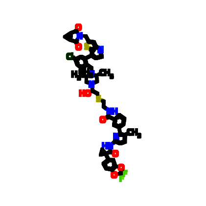 Cc1ccc(NC(=O)C2(c3ccc4c(c3)OC(F)(F)O4)CC2)nc1-c1cccc(C(=O)NCCSCC(O)N2C[C@H](C)N(Cc3c(C)cc(Cl)cc3-c3ccnc4cc(CN5C(=O)C6CC6C5=O)sc34)[C@@H](C)C2)c1